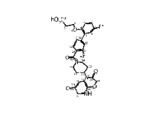 O=C(O)CCOc1ccc(F)cc1-c1ccc(C(=O)N2CCC(N3C(=O)COC4=C3C=C(Cl)CN4)CC2)c(F)c1